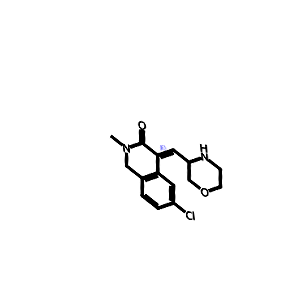 CN1Cc2ccc(Cl)cc2/C(=C\C2COCCN2)C1=O